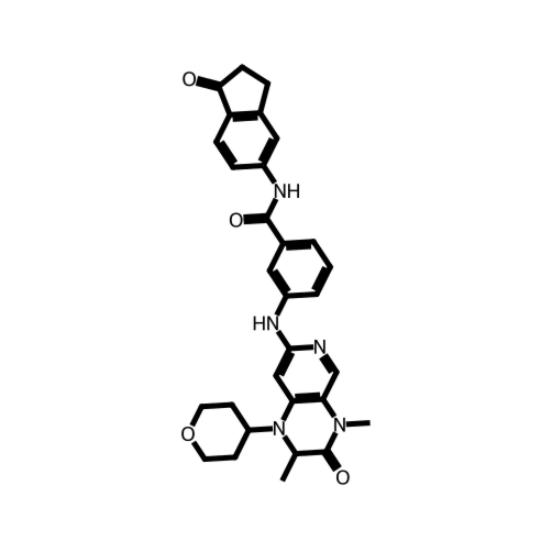 CC1C(=O)N(C)c2cnc(Nc3cccc(C(=O)Nc4ccc5c(c4)CCC5=O)c3)cc2N1C1CCOCC1